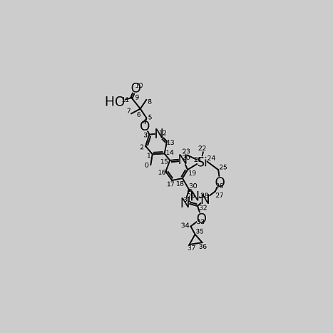 Cc1cc(OCC(C)(C)C(=O)O)ncc1-c1ccc2c(n1)[Si](C)(C)CCOCn1nc-2nc1OCC1CC1